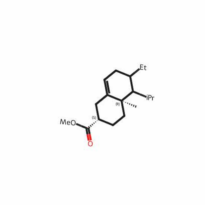 CCC1CC=C2C[C@@H](C(=O)OC)CC[C@]2(C)C1C(C)C